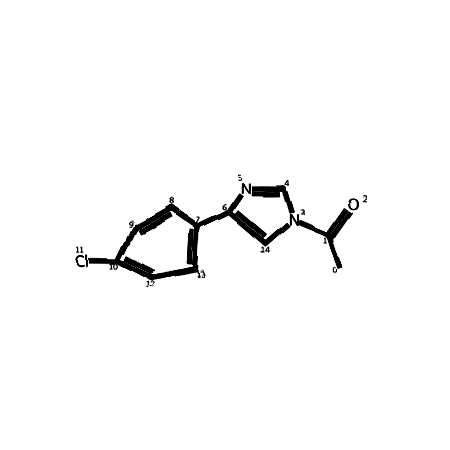 CC(=O)n1cnc(-c2ccc(Cl)cc2)c1